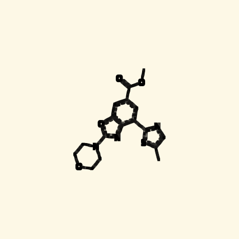 COC(=O)c1cc(-c2ncc(C)s2)c2nc(N3CCOCC3)oc2c1